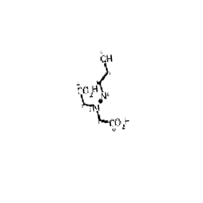 O=C(O)[CH2][Ni]([CH2]C(=O)O)=[N]CCO